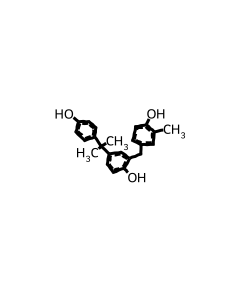 Cc1cc(Cc2cc(C(C)(C)c3ccc(O)cc3)ccc2O)ccc1O